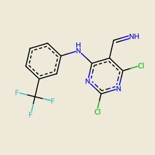 N=Cc1c(Cl)nc(Cl)nc1Nc1cccc(C(F)(F)F)c1